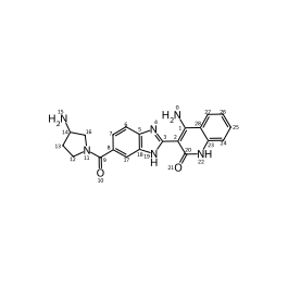 Nc1c(-c2nc3ccc(C(=O)N4CCC(N)C4)cc3[nH]2)c(=O)[nH]c2ccccc12